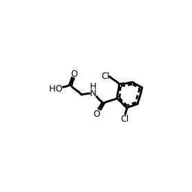 O=C(O)CNC(=O)c1c(Cl)cccc1Cl